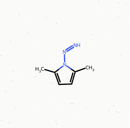 Cc1ccc(C)n1N=N